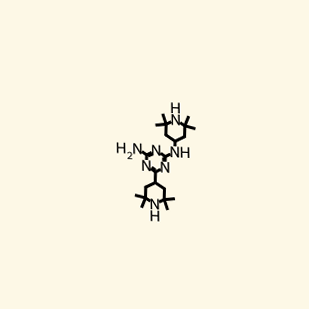 CC1(C)CC(Nc2nc(N)nc(C3CC(C)(C)NC(C)(C)C3)n2)CC(C)(C)N1